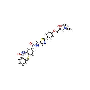 CN(C)CC(O)COc1ccc(-c2ncc(CNC(=O)c3ccc4c(c3)NC(=O)c3ccccc3S4)s2)cc1